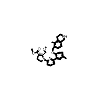 COC[C@@H]1[C@H](C(=O)OC)CCN1c1cccc(-c2cc(C)ccc2OCc2ccc3c(c2C)CCNC3)n1